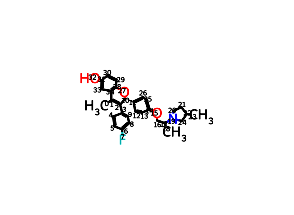 CC1=C(c2ccc(F)cc2)[C@@H](c2ccc(OCC(C)N3CCC(C)C3)cc2)Oc2ccc(O)cc21